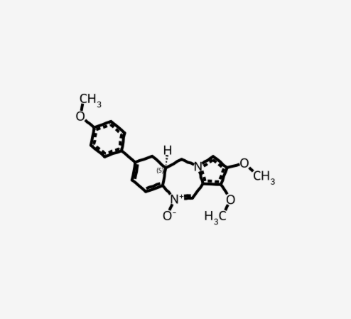 COc1ccc(C2=CC=C3[C@@H](C2)Cn2cc(OC)c(OC)c2C=[N+]3[O-])cc1